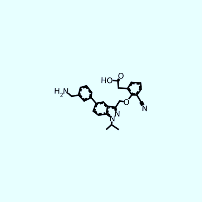 CC(C)n1nc(COc2c(C#N)cccc2CC(=O)O)c2cc(-c3cccc(CN)c3)ccc21